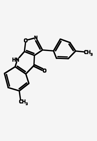 Cc1ccc(-c2noc3[nH]c4ccc(C)cc4c(=O)c23)cc1